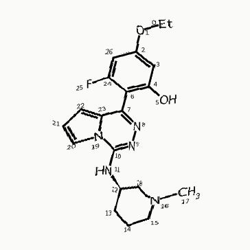 CCOc1cc(O)c(-c2nnc(N[C@@H]3CCCN(C)C3)n3cccc23)c(F)c1